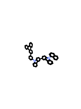 c1cc(-c2ccc3c4ccccc4c4ccccc4c3c2)cc(-n2c3ccccc3c3cc(-c4ccc5c(c4)c4ccccc4n5-c4cccc5ccccc45)ccc32)c1